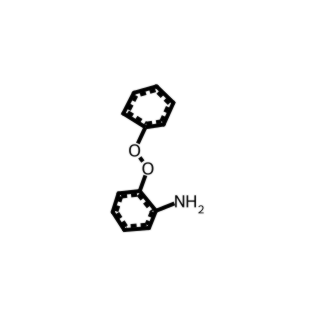 Nc1ccccc1OOc1ccccc1